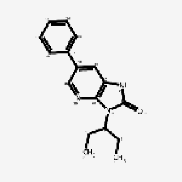 CCC(CC)n1c(=O)[nH]c2cc(-c3ccccc3)cnc21